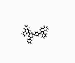 c1ccc(-c2nc(-c3ccc(-n4c5ccccc5c5c6ccccc6ccc54)cc3)nc(-c3cc4ccccc4c4ccccc34)n2)cc1